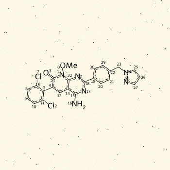 COn1c(=O)c(-c2c(Cl)cccc2Cl)cc2c(N)nc(-c3ccc(Cn4cccn4)cc3)nc21